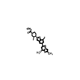 Cc1cn2nc(-c3cc(F)c4nn([C@H]5CCN(C(=O)OC(C)(C)C)C[C@@H]5F)cc4c3)cc(C)c2n1